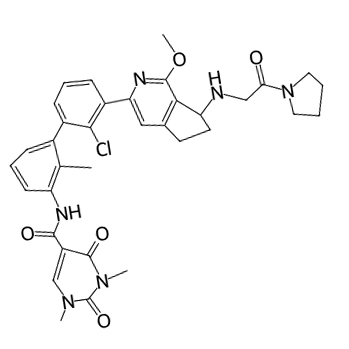 COc1nc(-c2cccc(-c3cccc(NC(=O)c4cn(C)c(=O)n(C)c4=O)c3C)c2Cl)cc2c1C(NCC(=O)N1CCCC1)CC2